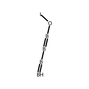 B=BB=BOI